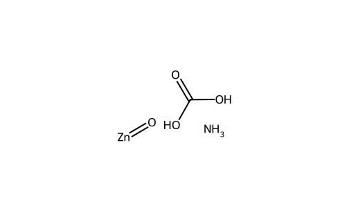 N.O=C(O)O.[O]=[Zn]